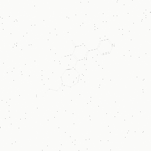 CCCN1CCCN(c2nc(-c3ccncc3)[nH]c(=O)c2Cl)CC1